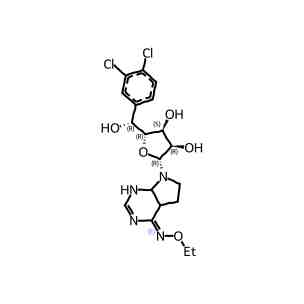 CCO/N=C1/N=CNC2C1CCN2[C@@H]1O[C@H]([C@H](O)c2ccc(Cl)c(Cl)c2)[C@@H](O)[C@H]1O